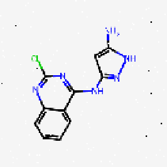 Nc1cc(Nc2nc(Cl)nc3ccccc23)n[nH]1